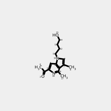 CC(=O)c1cc2c(c(C)cn2CCCCO)c(C)n1